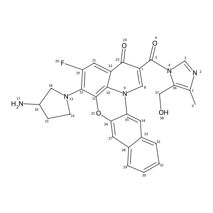 Cc1ncn(C(=O)c2cn3c4c(c(N5CCC(N)C5)c(F)cc4c2=O)Oc2cc4ccccc4cc2-3)c1CO